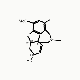 COc1cc(I)c2c3c1O[C@H]1C[C@@H](O)C=C[C@@]31CCN(C)C2